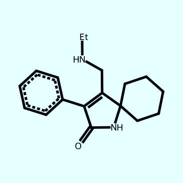 CCNCC1=C(c2ccccc2)C(=O)NC12CCCCC2